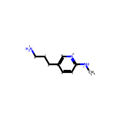 CNc1ccc(C[CH]CN)cn1